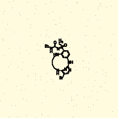 CCNC(=O)N=S(C)(=O)c1ccc2cc1NCCCCNc1nc(ncc1Br)N2